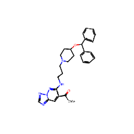 COC(=O)c1cc2ncnn2nc1NCCCN1CCC(OC(c2ccccc2)c2ccccc2)CC1